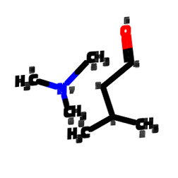 CC(C)CC=O.CN(C)C